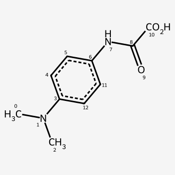 CN(C)c1ccc(NC(=O)C(=O)O)cc1